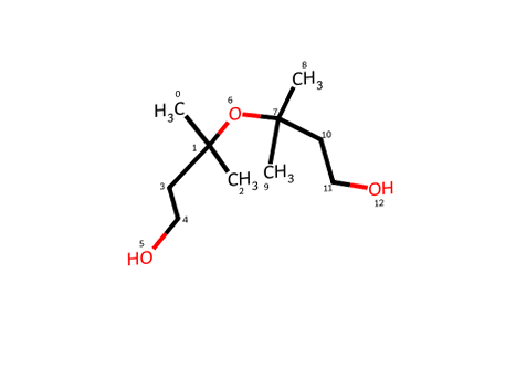 CC(C)(CCO)OC(C)(C)CCO